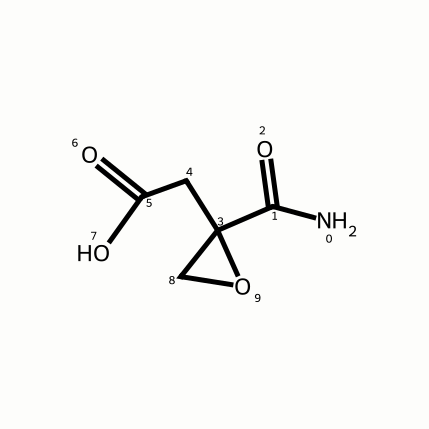 NC(=O)C1(CC(=O)O)CO1